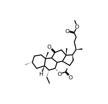 CC[C@H]1[C@@H](OC(C)=O)C2C3CC[C@H]([C@H](C)CCC(=O)OC)[C@@]3(C)CC(=O)C2[C@@]2(C)CC[C@@H](C)C[C@@H]12